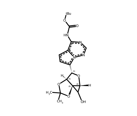 CC(C)(C)OC(=O)Nc1ncnn2c([C@@H]3O[C@@H]4C(O)[C@@]45OC(C)(C)O[C@@H]35)ccc12